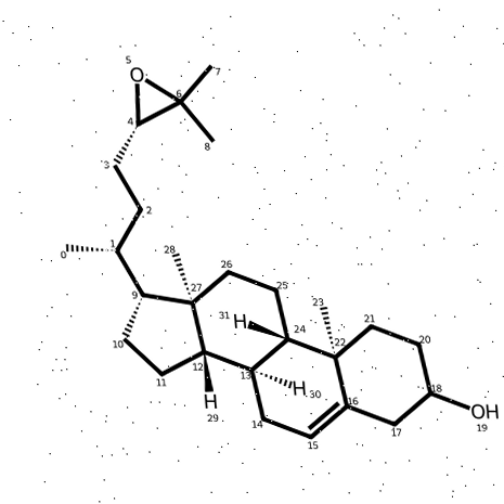 C[C@H](CC[C@@H]1OC1(C)C)[C@H]1CC[C@H]2[C@@H]3CC=C4CC(O)CC[C@]4(C)[C@H]3CC[C@]12C